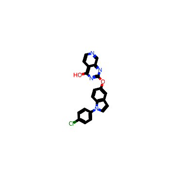 Oc1nc(Oc2ccc3c(ccn3-c3ccc(Cl)cc3)c2)nc2cnccc12